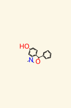 CN(C)c1cc(O)ccc1C(=O)c1ccccc1